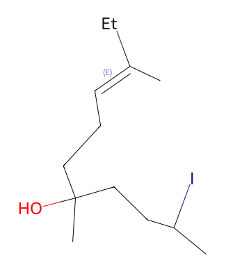 CC/C(C)=C/CCC(C)(O)CCC(C)I